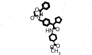 COC(=O)[C@H]1CC[C@@H](NC(=O)C(c2ccc(CN3N=C(c4ccccc4)OCC3=O)cc2)C2CCCC2)CC1